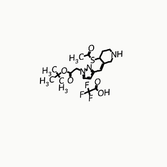 CC(=O)SC1CCNCC1=Cc1ccn(CC(=O)OC(C)(C)C)n1.O=C(O)C(F)(F)F